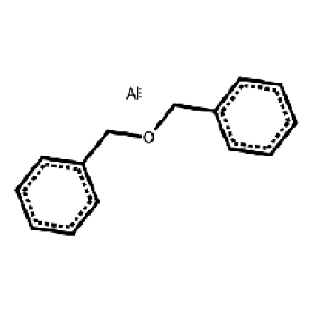 [Al].c1ccc(COCc2ccccc2)cc1